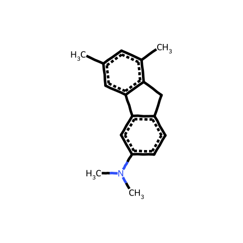 Cc1cc(C)c2c(c1)-c1cc(N(C)C)ccc1C2